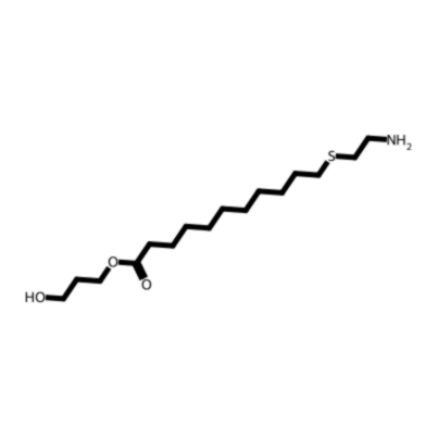 NCCSCCCCCCCCCCC(=O)OCCCO